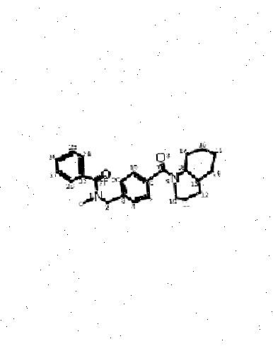 CN(Cc1ccc(C(=O)N2CCCC3CCCCC32)cc1)C(=O)c1ccccc1